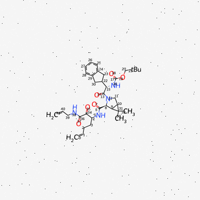 C=CCCC(NC(=O)[C@@H]1C2C(CN1C(=O)[C@@H](NC(=O)OCC(C)(C)C)C1Cc3ccccc3C1)C2(C)C)C(=O)C(=O)NCC=C